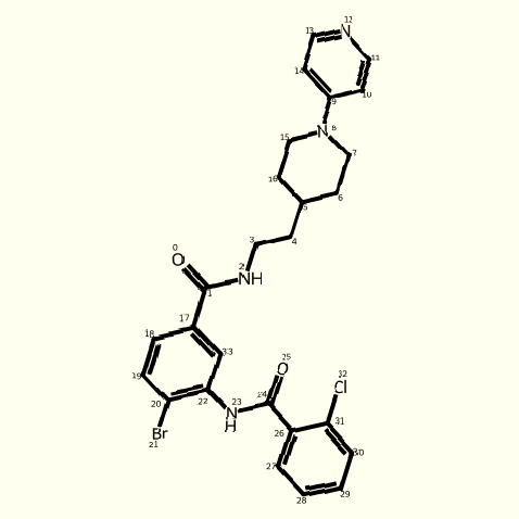 O=C(NCCC1CCN(c2ccncc2)CC1)c1ccc(Br)c(NC(=O)c2ccccc2Cl)c1